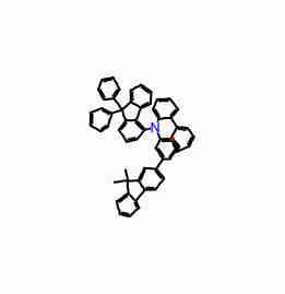 CC1(C)c2ccccc2-c2ccc(-c3cccc(N(c4ccccc4-c4ccccc4)c4cccc5c4-c4ccccc4C5(c4ccccc4)c4ccccc4)c3)cc21